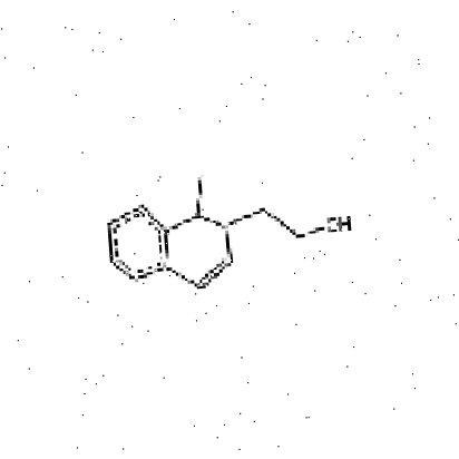 CC1c2ccccc2C=CC1CCO